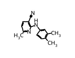 Cc1ccc(C#N)c(Nc2ccc(C)c(C)c2)n1